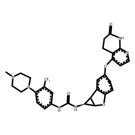 CN1CCN(c2ccc(NC(=O)N[C@@H]3C4Oc5ccc(Oc6ccnc7c6CCC(=O)N7)cc5C43)cc2C(F)(F)F)CC1